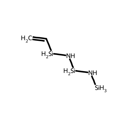 C=C[SiH2]N[SiH2]N[SiH3]